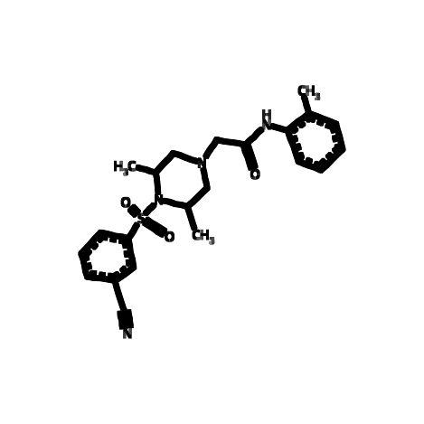 Cc1ccccc1NC(=O)CN1CC(C)N(S(=O)(=O)c2cccc(C#N)c2)C(C)C1